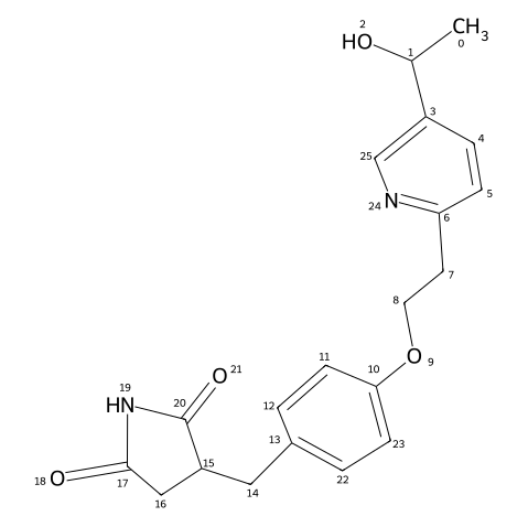 CC(O)c1ccc(CCOc2ccc(CC3CC(=O)NC3=O)cc2)nc1